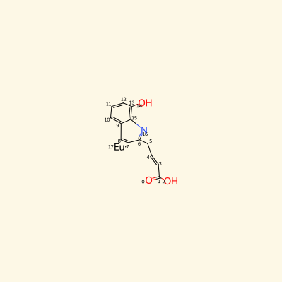 O=C(O)C=CCc1ccc2cccc(O)c2n1.[Eu]